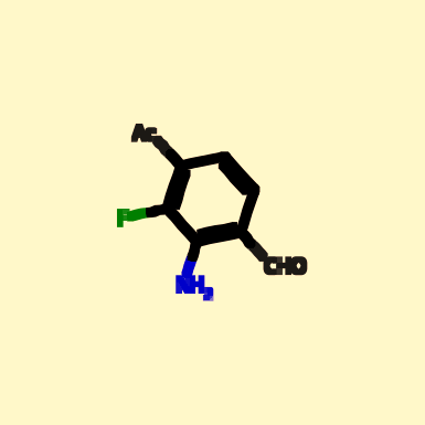 CC(=O)c1ccc(C=O)c(N)c1F